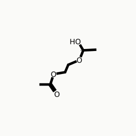 C[C](O)OCCOC(C)=O